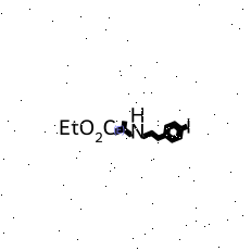 CCOC(=O)/C=C(\C)CNCCCc1ccc(I)cc1